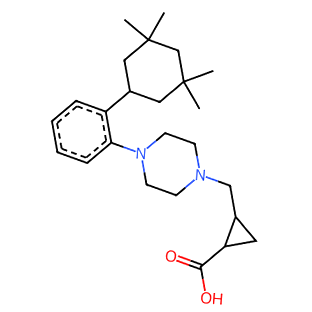 CC1(C)CC(c2ccccc2N2CCN(CC3CC3C(=O)O)CC2)CC(C)(C)C1